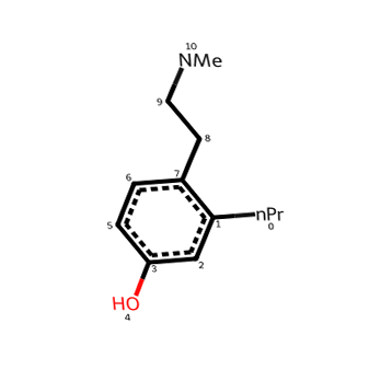 CCCc1cc(O)ccc1CCNC